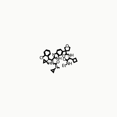 CCNC(=O)[C@H](NC(=O)C1(c2ccc3nc([C@@H](NC(=O)N(C)C4CC4)[C@H](c4ccccc4Cl)C4(C)CC4)[nH]c3c2)CCOC1)C1CCC1